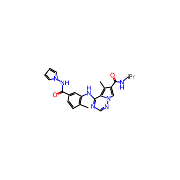 Cc1ccc(C(=O)Nn2cccc2)cc1Nc1ncnn2cc(C(=O)NC(C)C)c(C)c12